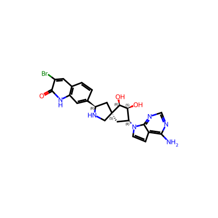 Nc1ncnc2c1ccn2[C@@H]1C[C@@]2(CN[C@@H](c3ccc4cc(Br)c(=O)[nH]c4c3)C2)[C@@H](O)[C@H]1O